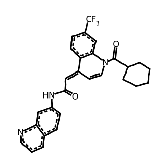 O=C(C=C1C=CN(C(=O)C2CCCCC2)c2cc(C(F)(F)F)ccc21)Nc1ccc2cccnc2c1